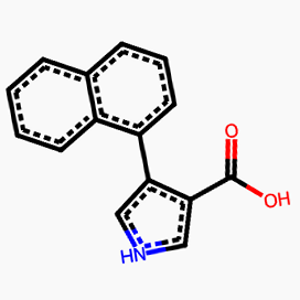 O=C(O)c1c[nH]cc1-c1cccc2ccccc12